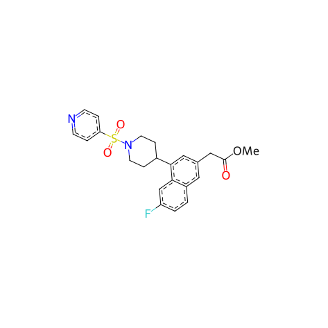 COC(=O)Cc1cc(C2CCN(S(=O)(=O)c3ccncc3)CC2)c2cc(F)ccc2c1